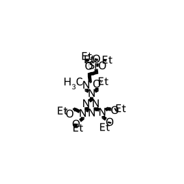 CCOCN(COCC)c1nc(N(COCC)COCC)nc(N(COCC)CN(C)CCC[Si](OCC)(OCC)OCC)n1